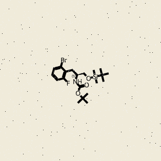 CC(C)(C)OC(=O)N[C@H](CO[Si](C)(C)C(C)(C)C)Cc1c(F)cccc1Br